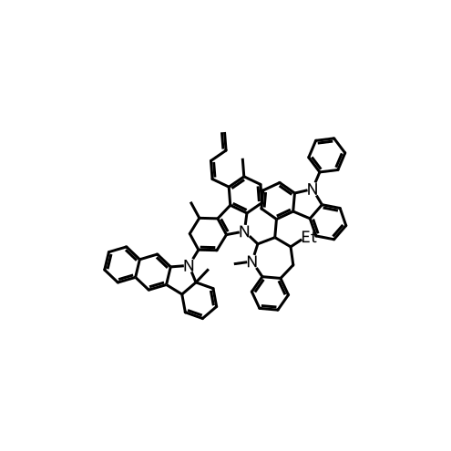 C=C/C=C\c1c(C)ccc2c1c1c(n2C2C(c3cccc4c3c3ccccc3n4-c3ccccc3)C(CC)Cc3ccccc3N2C)C=C(N2c3cc4ccccc4cc3C3C=CC=CC32C)CC1C